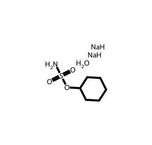 NS(=O)(=O)OC1CCCCC1.O.[NaH].[NaH]